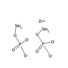 O=P([O-])([O-])O[SiH3].O=P([O-])([O-])O[SiH3].[Zr+4]